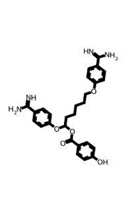 N=C(N)c1ccc(OCCCCCC(OC(=O)c2ccc(O)cc2)Oc2ccc(C(=N)N)cc2)cc1